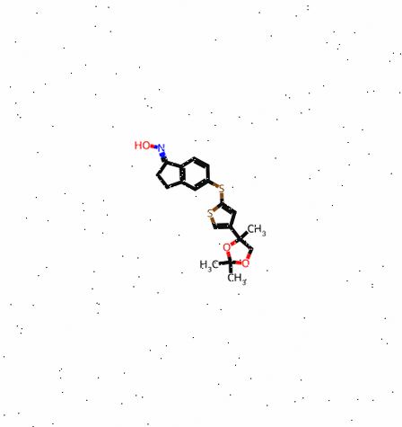 CC1(C)OCC(C)(c2csc(Sc3ccc4c(c3)CCC4=NO)c2)O1